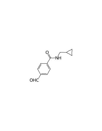 O=Cc1ccc(C(=O)NCC2CC2)cc1